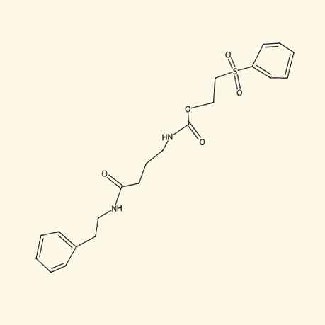 O=C(CCCNC(=O)OCCS(=O)(=O)c1ccccc1)NCCc1ccccc1